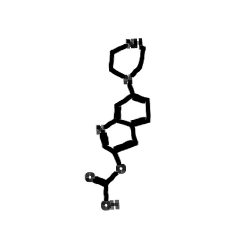 O=C(O)Oc1cnc2cc(N3CCNCC3)ccc2c1